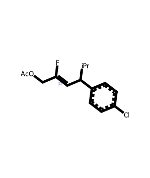 CC(=O)OC/C(F)=C/C(c1ccc(Cl)cc1)C(C)C